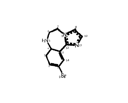 BrC1=CCC2NCCn3ccnc3C2=C1